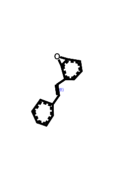 C(=C\c1cccc2c1O2)/c1ccccc1